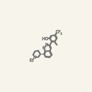 CCN1CCC[C@H](c2cccc3cc(-c4c(C)cc(C(F)(F)F)cc4O)nnc23)C1